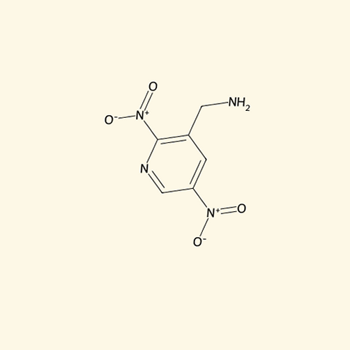 NCc1cc([N+](=O)[O-])cnc1[N+](=O)[O-]